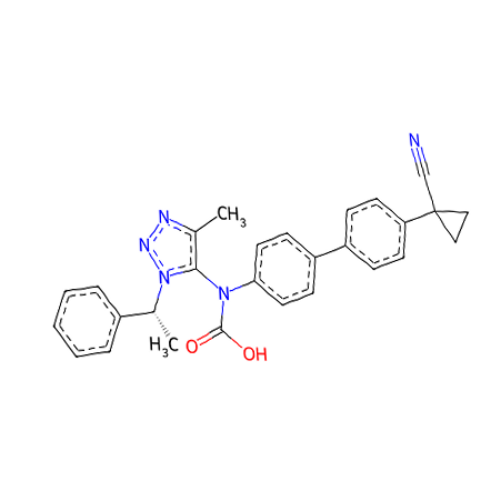 Cc1nnn([C@H](C)c2ccccc2)c1N(C(=O)O)c1ccc(-c2ccc(C3(C#N)CC3)cc2)cc1